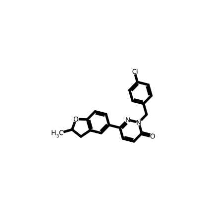 CC1Cc2cc(-c3ccc(=O)n(Cc4ccc(Cl)cc4)n3)ccc2O1